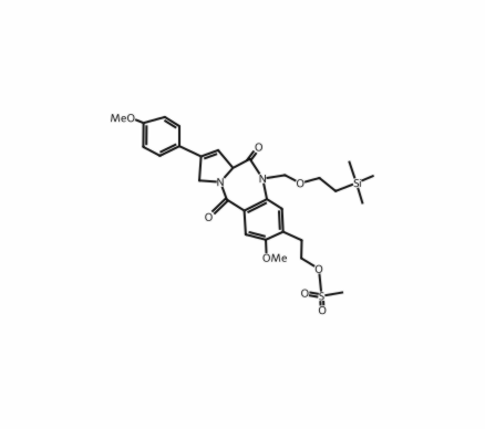 COc1ccc(C2=CC3C(=O)N(COCC[Si](C)(C)C)c4cc(CCOS(C)(=O)=O)c(OC)cc4C(=O)N3C2)cc1